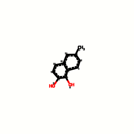 Cc1ccc2c(O)c(O)ccc2c1